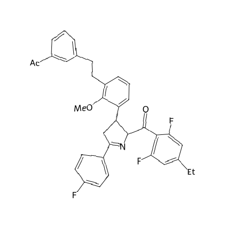 CCc1cc(F)c(C(=O)C2N=C(c3ccc(F)cc3)CC2c2cccc(CCc3cccc(C(C)=O)c3)c2OC)c(F)c1